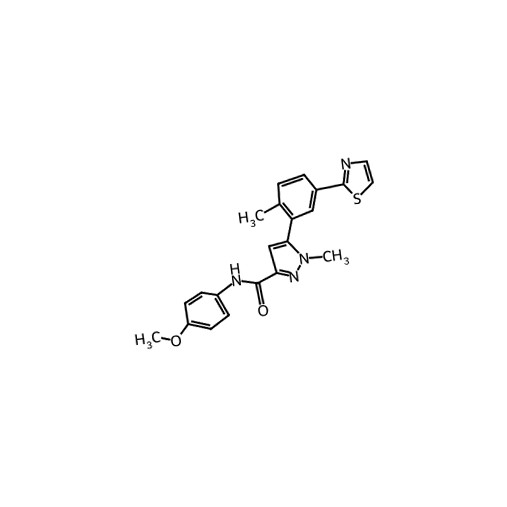 COc1ccc(NC(=O)c2cc(-c3cc(-c4nccs4)ccc3C)n(C)n2)cc1